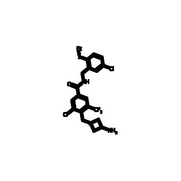 CCSc1ccc(Cl)cc1CNC(=O)c1cc(Cl)c(CN2CC(N)C2)c(C(F)(F)F)c1